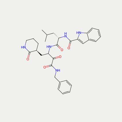 CC(C)C[C@H](NC(=O)c1cc2ccccc2[nH]1)C(=O)NC(C[C@@H]1CCCNC1=O)C(=O)C(=O)NCc1ccccc1